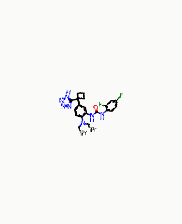 CC(C)CN(CC(C)C)c1ccc(C2(c3nnn[nH]3)CCC2)cc1NC(=O)Nc1ccc(F)cc1F